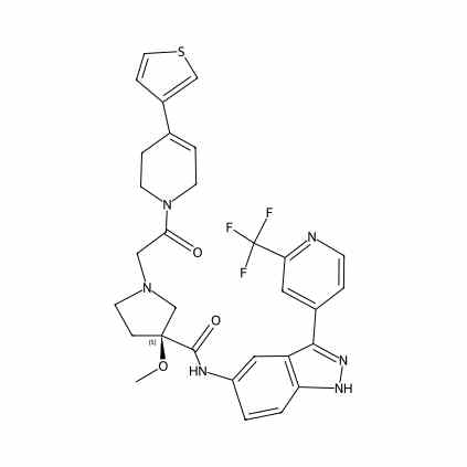 CO[C@@]1(C(=O)Nc2ccc3[nH]nc(-c4ccnc(C(F)(F)F)c4)c3c2)CCN(CC(=O)N2CC=C(c3ccsc3)CC2)C1